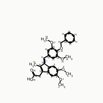 COc1cc2c(cc1OC)/C(=C\c1cc(OC)c(OCc3ccccc3)c(OC)c1)C(C)=C2CC(=O)O